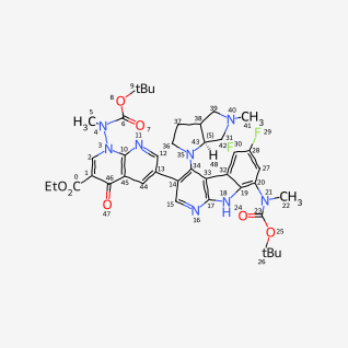 CCOC(=O)c1cn(N(C)C(=O)OC(C)(C)C)c2ncc(-c3cnc4[nH]c5c(N(C)C(=O)OC(C)(C)C)cc(F)c(F)c5c4c3N3CCC4CN(C)C[C@H]43)cc2c1=O